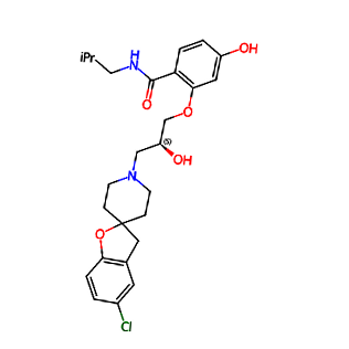 CC(C)CNC(=O)c1ccc(O)cc1OC[C@@H](O)CN1CCC2(CC1)Cc1cc(Cl)ccc1O2